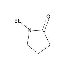 CCN1C[CH]CC1=O